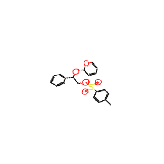 Cc1ccc(S(=O)(=O)OCC(O[C@H]2C=CC=CO2)c2ccccc2)cc1